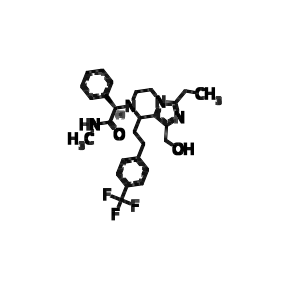 CCc1nc(CO)c2n1CCN([C@@H](C(=O)NC)c1ccccc1)C2CCc1ccc(C(F)(F)F)cc1